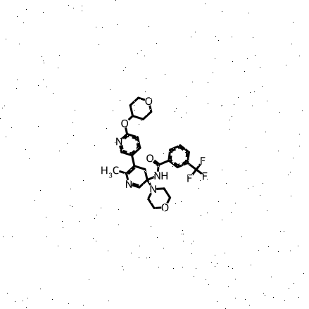 CC1=C(c2ccc(OC3CCOCC3)nc2)CC(NC(=O)c2cccc(C(F)(F)F)c2)(N2CCOCC2)C=N1